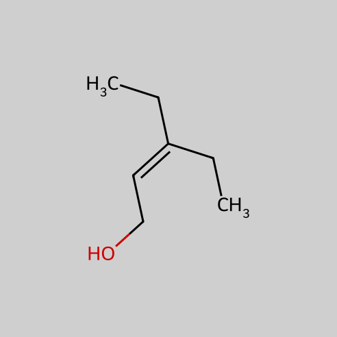 CCC(=CCO)CC